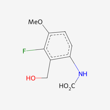 COc1ccc(NC(=O)O)c(CO)c1F